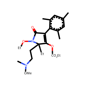 CCOC(=O)OC1=C(c2c(C)cc(C)cc2C)C(=O)N(OCC)C1(CC)CCN(C)OC